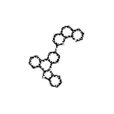 c1cnc2c(c1)ccc1ccc(-c3ccc4c(c3)c3ccccc3c3nc5ccccc5n43)nc12